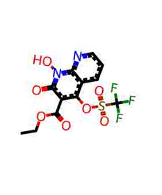 CCOC(=O)c1c(OS(=O)(=O)C(F)(F)F)c2cccnc2n(O)c1=O